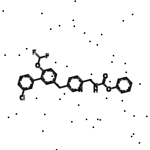 O=C(NCc1ccc(Cc2ccc(OC(F)F)c(-c3cccc(Cl)c3)c2)cn1)Oc1ccccc1